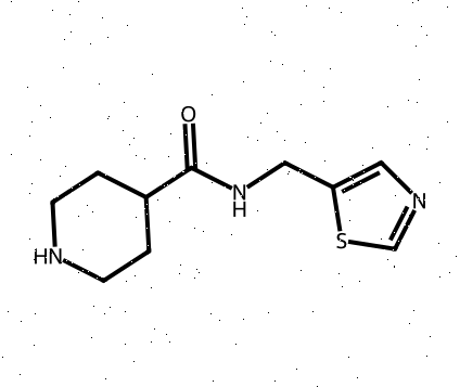 O=C(NCc1cncs1)C1CCNCC1